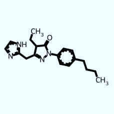 CCCCc1ccc(N2N=C(Cc3ncc[nH]3)C(CC)C2=O)cc1